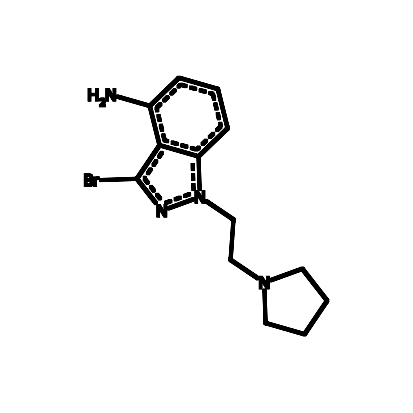 Nc1cccc2c1c(Br)nn2CCN1CCCC1